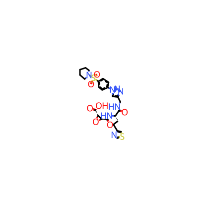 O=C(NCc1cn(-c2ccc(S(=O)(=O)N3CCCCC3)cc2)nn1)[C@H](CCc1cscn1)NC(=O)[C@H]1O[C@@H]1C(=O)O